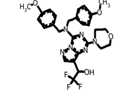 COc1ccc(CN(Cc2ccc(OC)cc2)c2nc(N3CCOCC3)nc3c(C(O)C(F)(F)F)cnn23)cc1